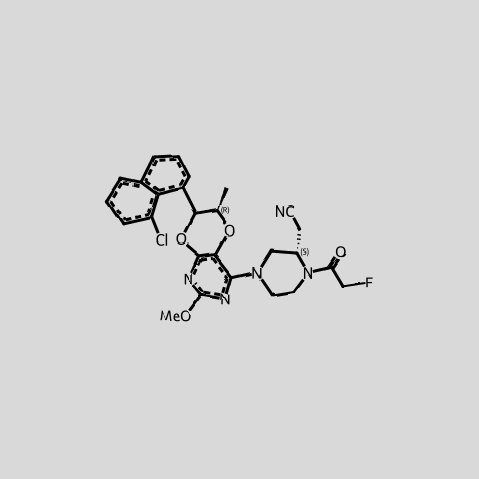 COc1nc2c(c(N3CCN(C(=O)CF)[C@@H](CC#N)C3)n1)O[C@H](C)C(c1cccc3cccc(Cl)c13)O2